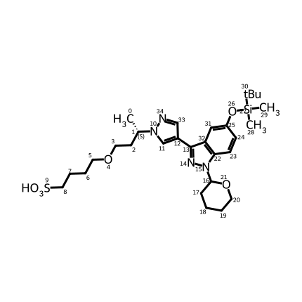 C[C@@H](CCOCCCCS(=O)(=O)O)n1cc(-c2nn(C3CCCCO3)c3ccc(O[Si](C)(C)C(C)(C)C)cc23)cn1